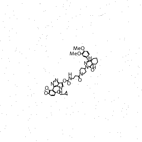 COc1ccc(C2=NN(C3CCN(C(=O)CCNC(=O)Oc4c[nH]c5c(-c6c(OCC7CC7)ccc7c6OCO7)ncnc45)CC3)C(=O)[C@@H]3CCCC[C@H]23)cc1OC